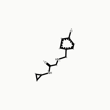 O=C(CNCc1ccc(Cl)cc1)NC1CC1